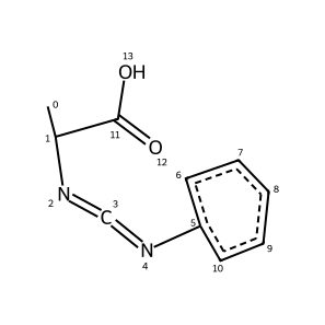 CC(N=C=Nc1ccccc1)C(=O)O